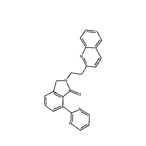 O=C1c2c(cccc2-c2ncccn2)CN1CCc1ccc2ccccc2n1